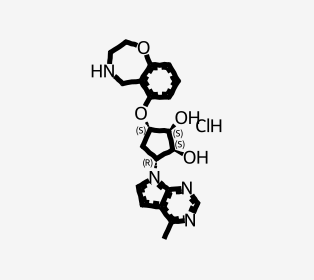 Cc1ncnc2c1ccn2[C@@H]1C[C@H](Oc2cccc3c2CNCCO3)[C@@H](O)[C@H]1O.Cl